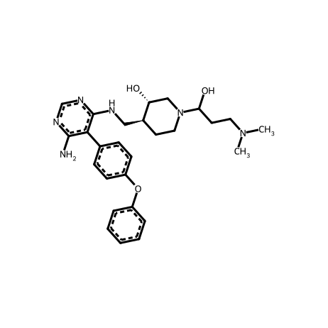 CN(C)CCC(O)N1CC[C@@H](CNc2ncnc(N)c2-c2ccc(Oc3ccccc3)cc2)[C@H](O)C1